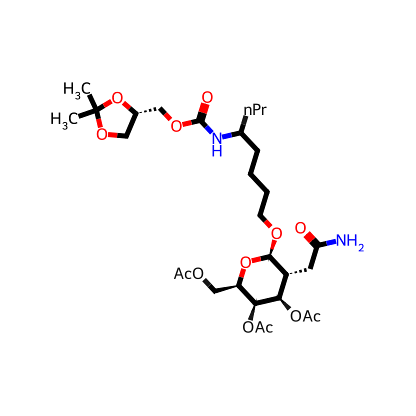 CCCC(CCCCO[C@@H]1O[C@H](COC(C)=O)[C@H](OC(C)=O)[C@H](OC(C)=O)[C@H]1CC(N)=O)NC(=O)OC[C@@H]1COC(C)(C)O1